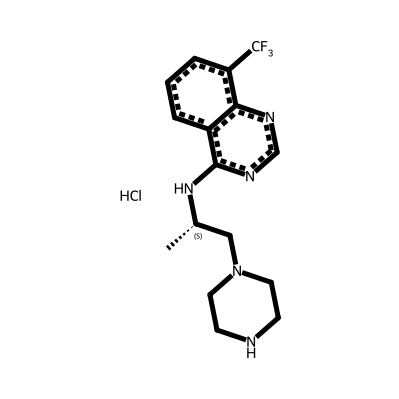 C[C@@H](CN1CCNCC1)Nc1ncnc2c(C(F)(F)F)cccc12.Cl